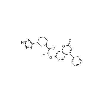 CC(Oc1ccc2c(-c3ccccc3)cc(=O)oc2c1)C(=O)N1CCCC(c2nn[nH]n2)C1